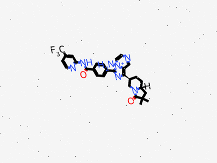 CC1(C)C[C@H]2CC[C@H](C3=C4C=NC=C[N+]4(N)C(c4ccc(C(=O)Nc5cc(C(F)(F)F)ccn5)cc4)=N3)CN2C1=O